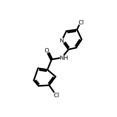 O=C(Nc1ccc(Cl)cn1)c1cccc(Cl)c1